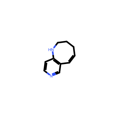 C1=C\c2cnccc2NCCC/1